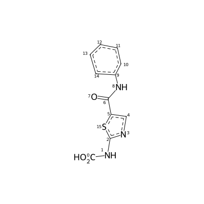 O=C(O)Nc1ncc(C(=O)Nc2ccccc2)s1